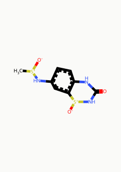 C[S+]([O-])Nc1ccc2c(c1)[S+]([O-])NC(=O)N2